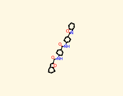 O=C(Nc1ccc(-c2nc3ccccc3o2)cc1)c1ccc(NC(=O)c2cc3ccccc3o2)cc1